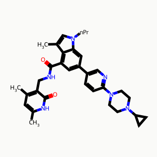 CCCn1cc(C)c2c(C(=O)NCc3c(C)cc(C)[nH]c3=O)cc(-c3ccc(N4CCN(C5CC5)CC4)nc3)cc21